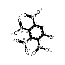 O=[N+]([O-])c1cc(Br)c([N+](=O)[O-])c([N+](=O)[O-])c1[N+](=O)[O-]